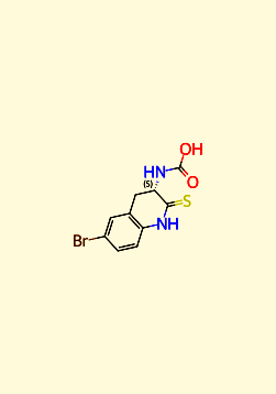 O=C(O)N[C@H]1Cc2cc(Br)ccc2NC1=S